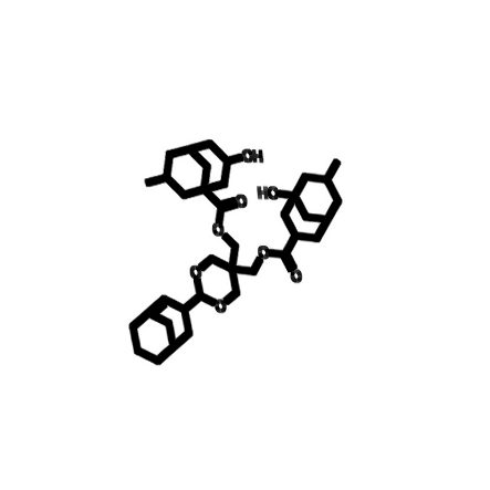 CC1CC2CC(C(=O)OCC3(COC(=O)C45CC(C)CC(CC(O)C4)C5)COC(C4C=C5CCCC(C5)C4)OC3)CC(O)(C1)C2